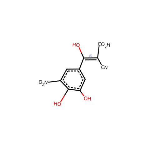 N#C/C(C(=O)O)=C(/O)c1cc(O)c(O)c([N+](=O)[O-])c1